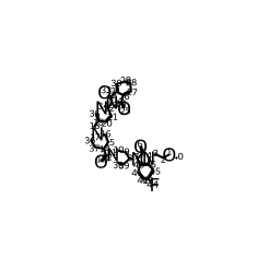 COCCn1c(=O)n(C2CCN(C(=O)C3CCN(Cc4ccc(N5C(=O)c6ccccc6C5=O)nc4)CC3)CC2)c2ccc(F)cc21